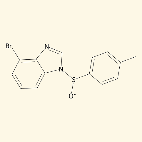 Cc1ccc([S+]([O-])n2cnc3c(Br)cccc32)cc1